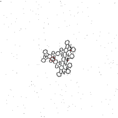 Fc1cccc(F)c1N1c2nc3c(cc2B2c4ccccc4Oc4c2c1c1c2ccccc2n2c5ccccc5c4c12)B1c2cc4c(cc2Oc2c1c(c1c5ccccc5n5c6ccccc6c2c15)N3c1c(F)cccc1F)Oc1c2c(c3c5ccccc5n5c6ccccc6c1c35)Oc1ccccc1B42